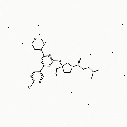 Cc1ncc(-c2cc(N[C@@]3(CO)CCN(C(=O)OCC(F)F)C3)nc(N3CCOCC3)n2)cn1